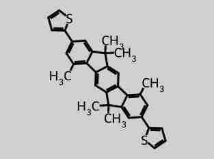 Cc1cc(-c2cccs2)cc2c1-c1cc3c(cc1C2(C)C)-c1c(C)cc(-c2cccs2)cc1C3(C)C